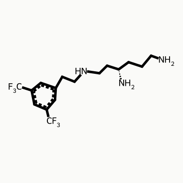 NCCC[C@H](N)CCNCCc1cc(C(F)(F)F)cc(C(F)(F)F)c1